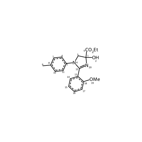 CCOC(=O)C1(O)CN(c2ccc(C)cc2)C(c2ccccc2OC)=N1